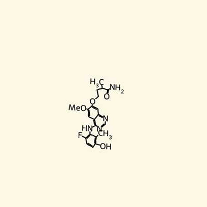 COc1cc2c(Nc3c(F)ccc(O)c3C)ncnc2cc1OCCC(C)C(N)=O